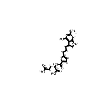 Nc1nc(O)c2c(n1)NCC2CCCc1ccc(C(=O)N[C@@H](CCC(=O)O)C(=O)O)s1